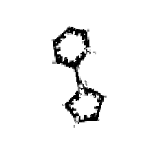 [c]1ccnc(-n2ccnc2)c1